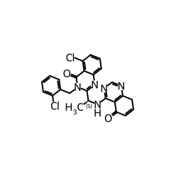 C[C@H](Nc1ncnc2c1C(=O)C=CC2)c1nc2cccc(Cl)c2c(=O)n1Cc1ccccc1Cl